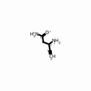 C#CC(N)CC(N)=O